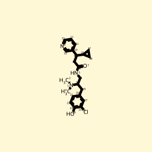 CN(C)C(CNC(=O)CC(c1cccnc1)C1CC1)Cc1ccc(O)c(Cl)c1